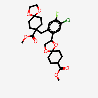 COC(=O)C1CCC2(CC1)OCC(c1cc(Cl)c(F)cc1CC1(C(=O)OC)CCC3(CC1)OCCO3)O2